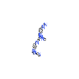 c1cncc(-c2ccc(-c3ccc4ccc5c(-c6ccc7ccc8c(-c9ccc(-c%10ccc(-c%11ccc%12ccc%13c(-c%14ccc%15ccc%16ccc(-c%17ccc%18ncccc%18c%17)nc%16c%15n%14)ccc%14ccc%11c%12c%14%13)cn%10)cc9)cc(-c9ccc%10ccccc%10n9)nc8c7n6)ccc6ccc3c4c65)cn2)c1